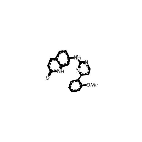 COc1ccccc1-c1ccnc(Nc2ccc3ccc(=O)[nH]c3c2)n1